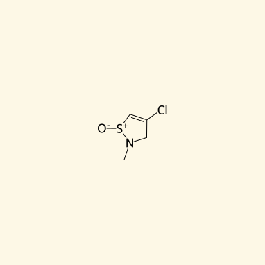 CN1CC(Cl)=C[S+]1[O-]